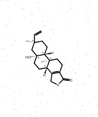 C=C[C@@]1(C)CC[C@H]2[C@@](O)(CC[C@H]3C4=C(CC[C@@]32C)C(=O)OC4)C1